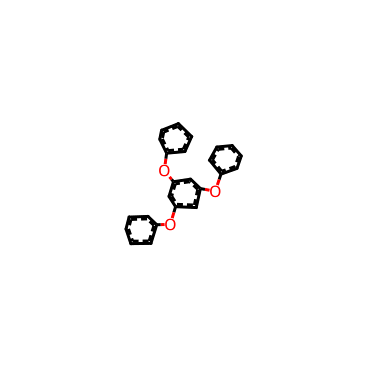 c1ccc(Oc2cc(Oc3ccccc3)cc(Oc3ccccc3)c2)cc1